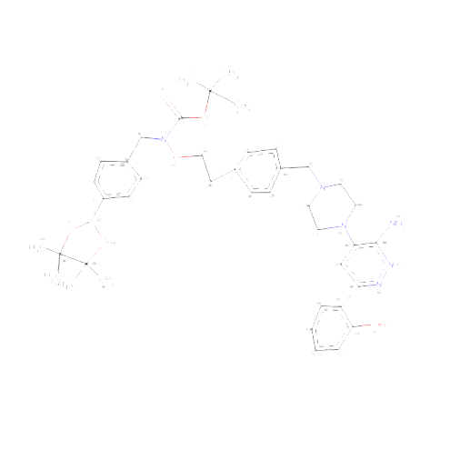 CC(C)(C)OC(=O)N(Cc1ccc(B2OC(C)(C)C(C)(C)O2)cc1)OCCc1ccc(CN2CCN(c3cc(-c4ccccc4O)nnc3N)CC2)cc1